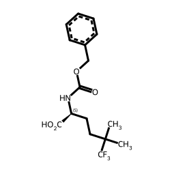 CC(C)(CC[C@H](NC(=O)OCc1ccccc1)C(=O)O)C(F)(F)F